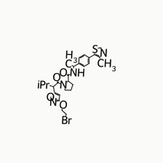 Cc1ncsc1-c1ccc(C(C)NC(=O)C2CCCN2C(=O)C(c2cc(OCCBr)no2)C(C)C)cc1